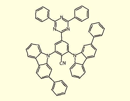 N#Cc1c(-n2c3ccccc3c3ccc(-c4ccccc4)cc32)cc(-c2nc(-c3ccccc3)nc(-c3ccccc3)n2)cc1-n1c2ccccc2c2ccc(-c3ccccc3)cc21